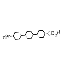 CCC[C@H]1CC[C@H]([C@H]2CC[C@H]([C@H]3CC[C@@H](C(=O)O)CC3)CC2)CC1